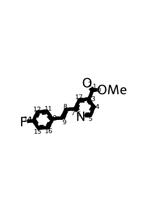 COC(=O)c1ccnc(/C=C/c2ccc(F)cc2)c1